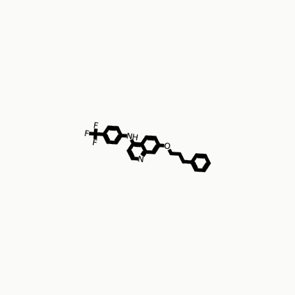 FC(F)(F)c1ccc(Nc2ccnc3cc(OCCCc4ccccc4)ccc23)cc1